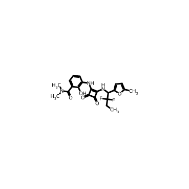 CCC(F)(F)C(Nc1c(Nc2cccc(C(=O)N(C)C)c2O)c(=O)c1=O)c1ccc(C)o1